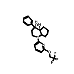 O[C@@]1(c2ccccc2)CCN(c2cccc(OCC(F)(F)F)n2)C2CCCC[C@H]21